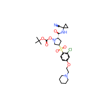 CC(C)(C)OC(=O)ON1C[C@H](S(=O)(=O)c2ccc(OCCN3CCCCC3)cc2Cl)C[C@H]1C(=O)NC1(C#N)CC1